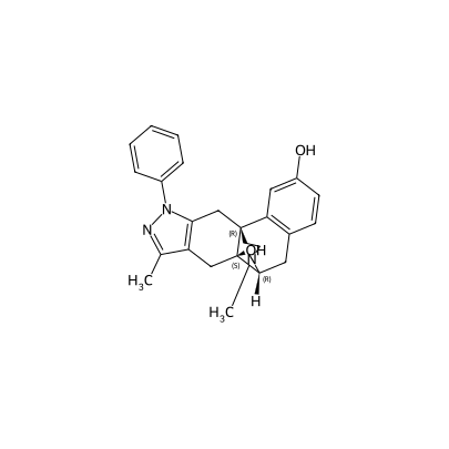 Cc1nn(-c2ccccc2)c2c1C[C@@]1(O)[C@H]3Cc4ccc(O)cc4[C@@]1(CCN3C)C2